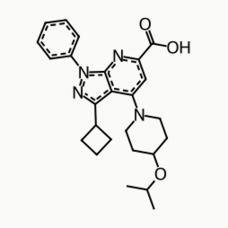 CC(C)OC1CCN(c2cc(C(=O)O)nc3c2c(C2CCC2)nn3-c2ccccc2)CC1